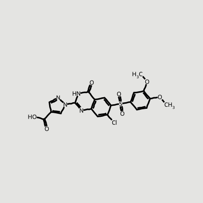 COc1ccc(S(=O)(=O)c2cc3c(=O)[nH]c(-n4cc(C(=O)O)cn4)nc3cc2Cl)cc1OC